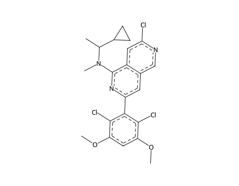 COc1cc(OC)c(Cl)c(-c2cc3cnc(Cl)cc3c(N(C)C(C)C3CC3)n2)c1Cl